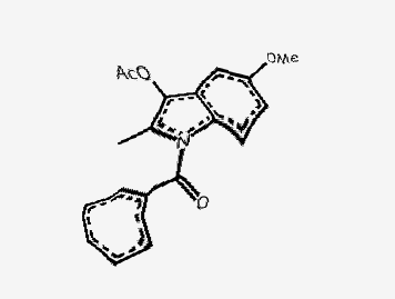 COc1ccc2c(c1)c(OC(C)=O)c(C)n2C(=O)c1ccccc1